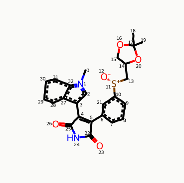 Cn1cc(C2=C(c3cccc([S@+]([O-])CC4COC(C)(C)O4)c3)C(=O)NC2=O)c2ccccc21